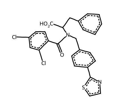 O=C(O)C(Cc1ccccc1)N(Cc1ccc(-c2nccs2)cc1)C(=O)c1ccc(Cl)cc1Cl